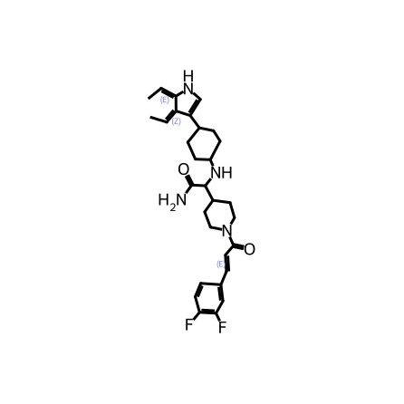 C/C=c1/c(C2CCC(NC(C(N)=O)C3CCN(C(=O)/C=C/c4ccc(F)c(F)c4)CC3)CC2)c[nH]/c1=C/C